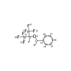 CC(OC(C)(C(F)(F)F)C(F)(F)F)c1ccccc1